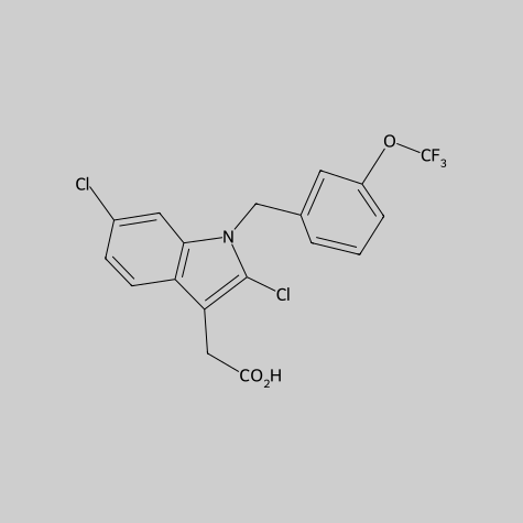 O=C(O)Cc1c(Cl)n(Cc2cccc(OC(F)(F)F)c2)c2cc(Cl)ccc12